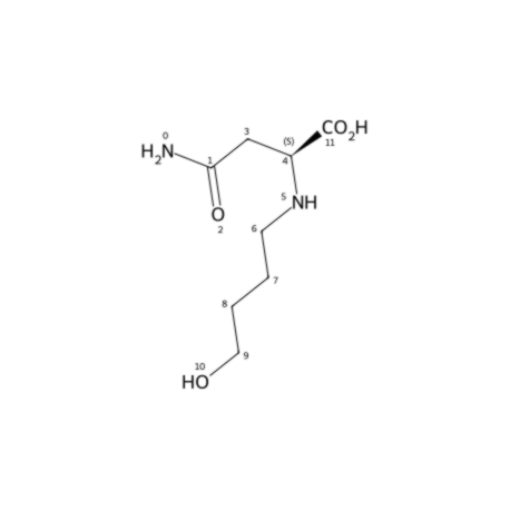 NC(=O)C[C@H](NCCCCO)C(=O)O